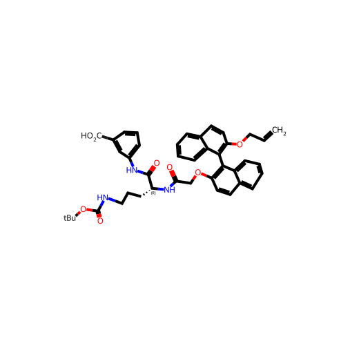 C=CCOc1ccc2ccccc2c1-c1c(OCC(=O)N[C@H](CCCNC(=O)OC(C)(C)C)C(=O)Nc2cccc(C(=O)O)c2)ccc2ccccc12